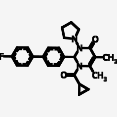 CC1=C(C)N(C(=O)C2CC2)C(c2ccc(-c3ccc(F)cc3)cc2)N(N2CCCC2)C1=O